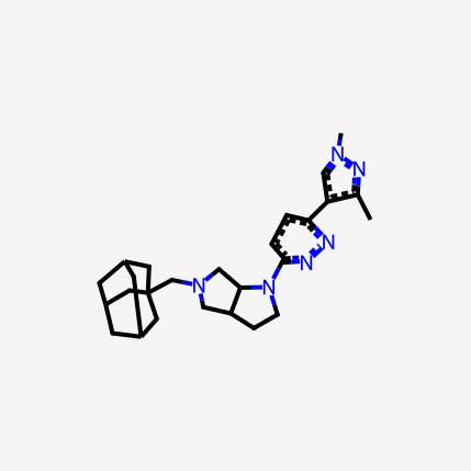 Cc1nn(C)cc1-c1ccc(N2CCC3CN(CC45CC6CC(CC(C6)C4)C5)CC32)nn1